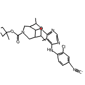 [C-]#[N+]c1ccc(Nc2ncnc(OC3C4CN(C(=O)OC5(C)CCC5)CC3C(C)OC4C)c2C)c(Cl)c1